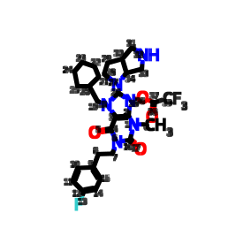 Cn1c2c(c(=O)n(CCc3ccc(F)cc3)c1=O)N(CC1CCCCC1)C(N1CCC3CNCC31)N2OC(=O)C(F)(F)F